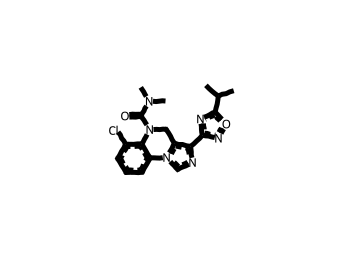 CC(C)c1nc(-c2ncn3c2CN(C(=O)N(C)C)c2c(Cl)cccc2-3)no1